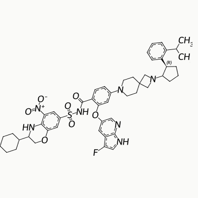 CC(C)c1ccccc1[C@H]1CCCC1N1CC2(CCN(c3ccc(C(=O)NS(=O)(=O)c4cc5c(c([N+](=O)[O-])c4)NC(C4CCC(C)(C)CC4)CO5)c(Oc4cnc5[nH]cc(F)c5c4)c3)CC2)C1